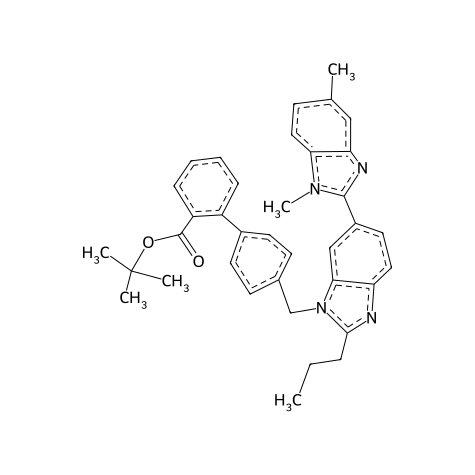 CCCc1nc2ccc(-c3nc4cc(C)ccc4n3C)cc2n1Cc1ccc(-c2ccccc2C(=O)OC(C)(C)C)cc1